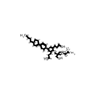 C=C(C)C(=O)OCC(CS)(CS)COc1c(CCCS)cc(-c2ccc(C3CCC(CCCCC)CC3)cc2F)cc1CCCS